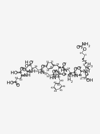 C[C@@H](CSSCCOC(N)=O)NC(=O)[C@H](CC(=O)O)NC(=O)[C@@H](N)CNC(=O)[C@H](Cc1ccccc1)NC(=O)C(Cc1ccccc1)NC(=O)CCNC(=O)CCC(NC(=O)N[C@@H](CCC(=O)O)C(=O)O)C(=O)O